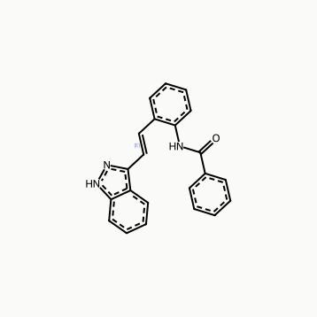 O=C(Nc1ccccc1/C=C/c1n[nH]c2ccccc12)c1ccccc1